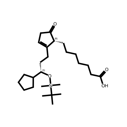 CC(C)(C)[Si](C)(C)O[C@@H](CCC1=CCC(=O)[C@@H]1CCCCCCC(=O)O)C1CCCC1